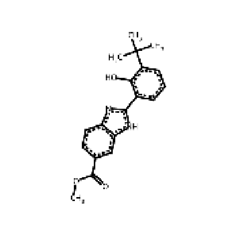 COC(=O)c1ccc2nc(-c3cccc(C(C)(C)C)c3O)[nH]c2c1